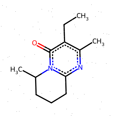 CCc1c(C)nc2n(c1=O)C(C)CCC2